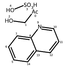 CC(=O)CO.O=S(=O)(O)O.c1ccc2ncccc2c1